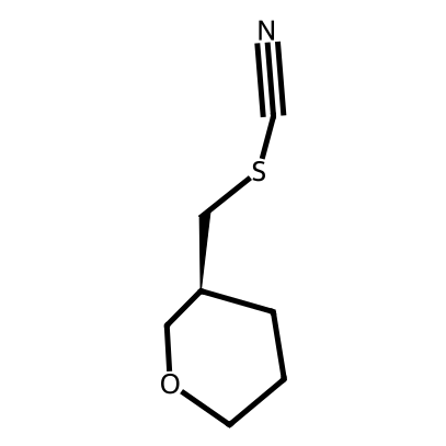 N#CSC[C@H]1CCCOC1